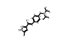 Cc1cc(C(F)=Cc2ccc(CN(C(C)C)C(C)C)cc2)n[nH]1